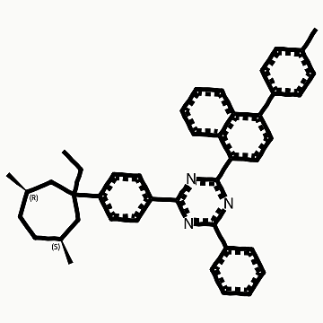 CCC1(c2ccc(-c3nc(-c4ccccc4)nc(-c4ccc(-c5ccc(C)cc5)c5ccccc45)n3)cc2)C[C@H](C)CC[C@H](C)C1